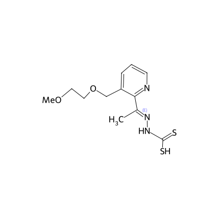 COCCOCc1cccnc1/C(C)=N/NC(=S)S